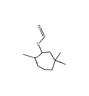 CC1CCCC(C)(C)CC1OC=O